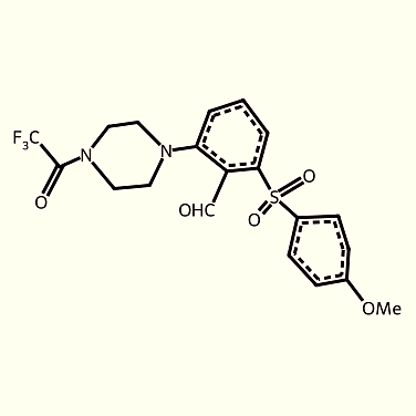 COc1ccc(S(=O)(=O)c2cccc(N3CCN(C(=O)C(F)(F)F)CC3)c2C=O)cc1